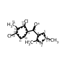 Cc1nn(C)[c]c1C(=O)c1ccc(Cl)c(C)c1Cl